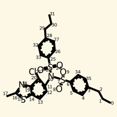 CCCc1ccc(S(=O)(=O)N(c2ccc3sc(C)nc3c2Cl)S(=O)(=O)c2ccc(CCC)cc2)cc1